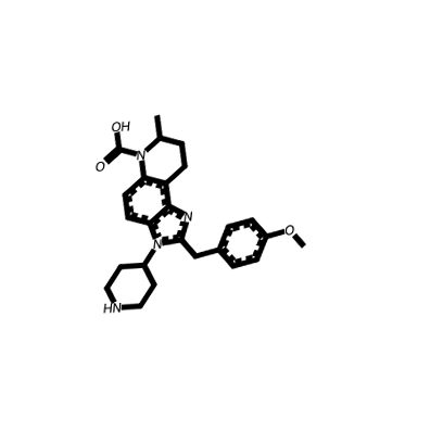 COc1ccc(Cc2nc3c4c(ccc3n2C2CCNCC2)N(C(=O)O)C(C)CC4)cc1